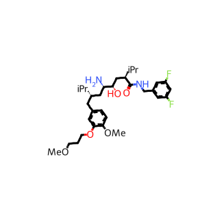 COCCCOc1cc(C[C@@H](C[C@H](N)[C@@H](O)C[C@H](C(=O)NCc2cc(F)cc(F)c2)C(C)C)C(C)C)ccc1OC